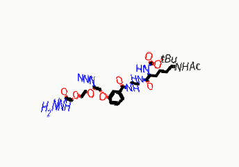 CC(=O)NCCCCC(NC(=O)OC(C)(C)C)C(=O)NCCNC(=O)c1cccc(OCC(N=[N+]=[N-])OCCOCC(=O)NN)c1